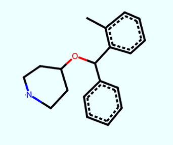 Cc1ccccc1C(OC1CC[N]CC1)c1ccccc1